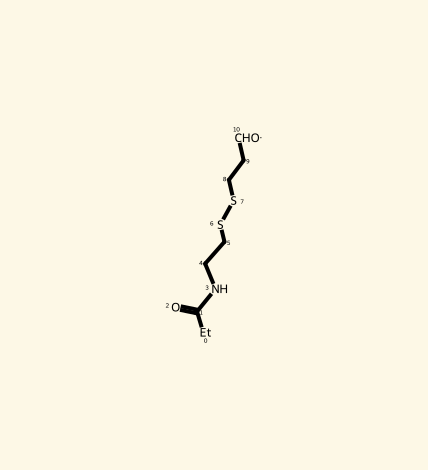 CCC(=O)NCCSSCC[C]=O